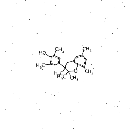 Cc1cc(C)c2c(c1)CC(C)(c1cc(C)c(O)c(C)c1)C(C)(C)O2